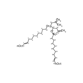 CCCCCCCCC=CCCCCCCCCOC(CN(C)C)C(CN(C)C)OCCCCCCCCC=CCCCCCCCC